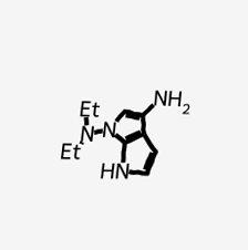 CCN(CC)n1cc(N)c2cc[nH]c21